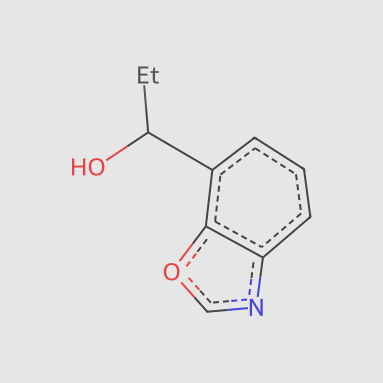 CCC(O)c1cccc2ncoc12